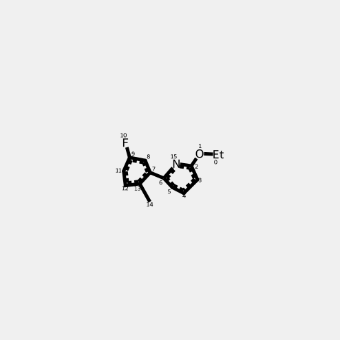 CCOc1cccc(-c2cc(F)ccc2C)n1